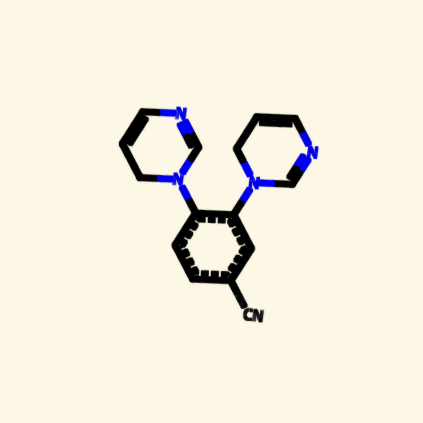 N#Cc1ccc(N2C=NC=CC2)c(N2C=NC=CC2)c1